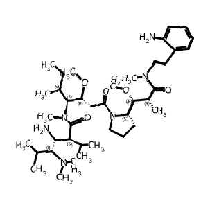 CC[C@H](C)[C@@H]([C@@H](CC(=O)N1CCC[C@H]1[C@H](OC)[C@@H](C)C(=O)N(C)CCc1ccccc1N)OC)N(C)C(=O)[C@@H](C(C)C)C(N)[C@@H](C(C)C)N(C)C